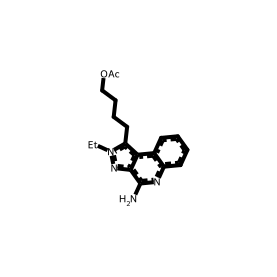 CCn1nc2c(N)nc3ccccc3c2c1CCCCOC(C)=O